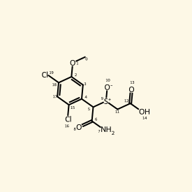 COc1cc(C(C(N)=O)[S+]([O-])CC(=O)O)c(Cl)cc1Cl